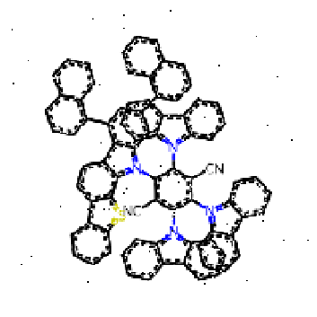 N#Cc1c(-n2c3ccccc3c3ccccc32)c(-n2c3ccccc3c3ccccc32)c(C#N)c(-n2c3cc(-c4cccc5ccccc45)cc(-c4cccc5ccccc45)c3c3ccc4c5ccccc5sc4c32)c1-n1c2ccccc2c2ccccc21